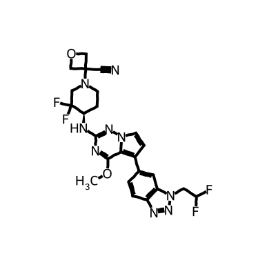 COc1nc(N[C@@H]2CCN(C3(C#N)COC3)CC2(F)F)nn2ccc(-c3ccc4nnn(CC(F)F)c4c3)c12